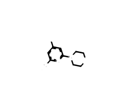 Nc1cc(I)cc(N2CCOCC2)n1